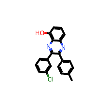 Cc1ccc(-c2nc3cccc(O)c3nc2-c2cccc(Cl)c2)cc1